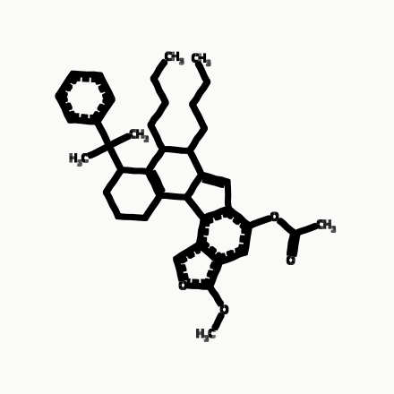 CCCCC1C2=Cc3c(OC(C)=O)cc4c(OC)occ4c3C2C2=C(C1CCCC)C(C(C)(C)c1ccccc1)CCC2